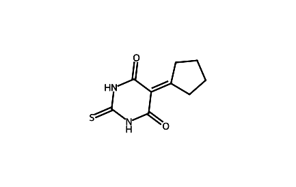 O=C1NC(=S)NC(=O)C1=C1CCCC1